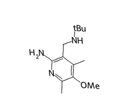 COc1c(C)nc(N)c(CNC(C)(C)C)c1C